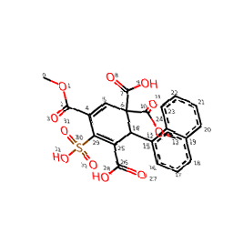 COC(=O)C1=CC(C(=O)O)(C(=O)OC)C(c2cccc3ccccc23)C(C(=O)O)=C1S(=O)(=O)O